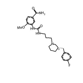 COc1ccc(C(N)=O)cc1NC(=O)NCCCN1CCC[C@@H](Cc2ccc(F)cc2)C1